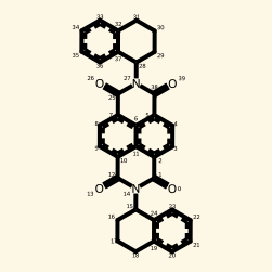 O=C1c2ccc3c4c(ccc(c24)C(=O)N1C1CCCc2ccccc21)C(=O)N(C1CCCc2ccccc21)C3=O